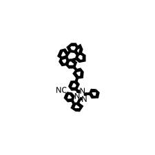 N#Cc1ccc(-c2ccccc2-c2nc(-c3ccccc3)nc(-c3cccc(-c4cccc(-c5cc6ccc7cccc8c9cccc%10ccc%11cccc(c(c5)c6c78)c%11c%109)c4)c3)n2)cc1